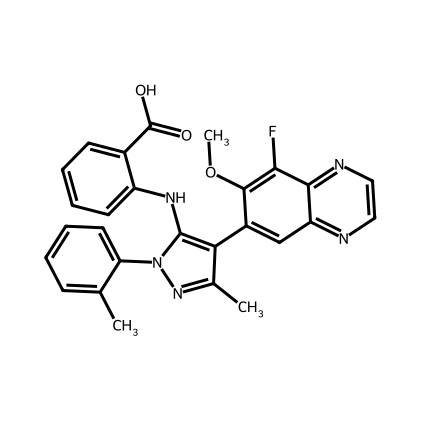 COc1c(-c2c(C)nn(-c3ccccc3C)c2Nc2ccccc2C(=O)O)cc2nccnc2c1F